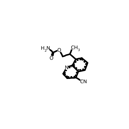 CC(COC(N)=O)c1cccc2c(C#N)ccnc12